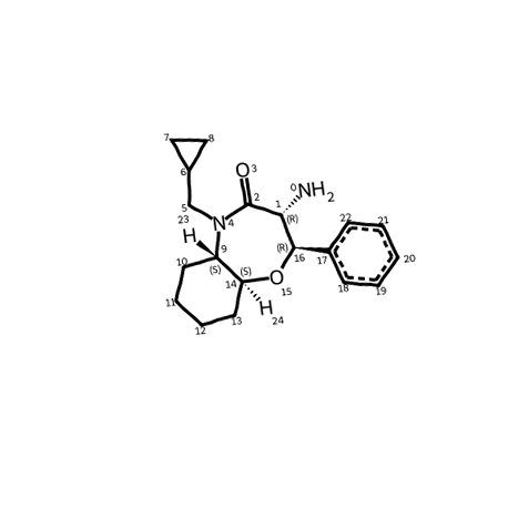 N[C@H]1C(=O)N(CC2CC2)[C@H]2CCCC[C@@H]2O[C@@H]1c1ccccc1